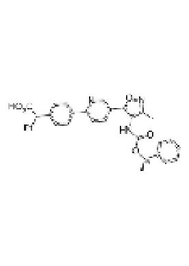 CCC(C(=O)O)c1ccc(-c2ccc(-c3onc(C)c3NC(=O)O[C@H](C)c3ccccc3)cn2)cc1